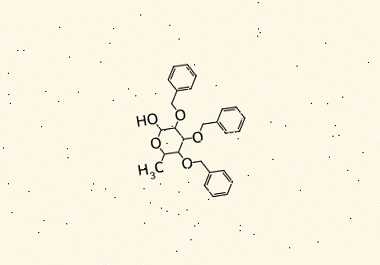 CC1OC(O)C(OCc2ccccc2)C(OCc2ccccc2)C1OCc1ccccc1